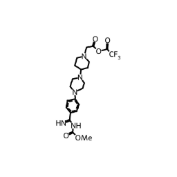 COC(=O)NC(=N)c1ccc(N2CCN(C3CCN(CC(=O)OC(=O)C(F)(F)F)CC3)CC2)cc1